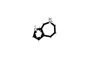 c1cc2c(o1)CNCCC2